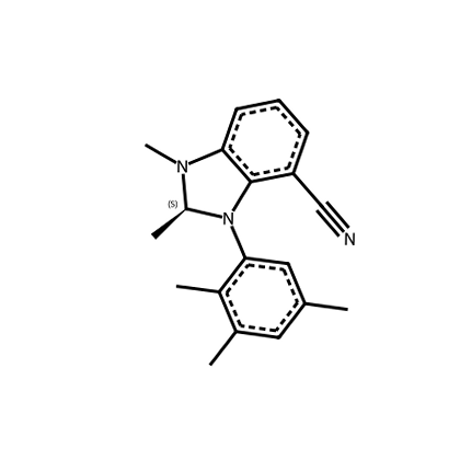 Cc1cc(C)c(C)c(N2c3c(C#N)cccc3N(C)[C@@H]2C)c1